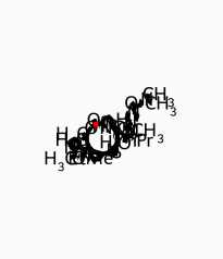 CCn1c(-c2cccnc2[C@H](C)OC)c2c3cc(ccc31)-c1csc(n1)C[C@H](NC(=O)[C@H](C(C)C)N(C)C(=O)N1CCN(C(=O)CCN(C)C)CC1)C(=O)N1CCC[C@H](N1)C(=O)OCC(C)(C)C2